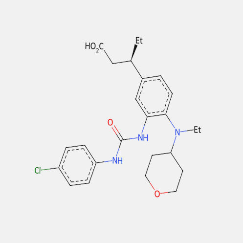 CC[C@H](CC(=O)O)c1ccc(N(CC)C2CCOCC2)c(NC(=O)Nc2ccc(Cl)cc2)c1